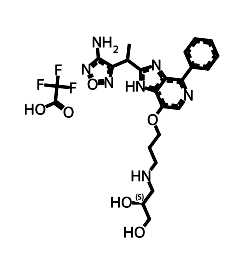 CC(c1nc2c(-c3ccccc3)ncc(OCCCNC[C@H](O)CO)c2[nH]1)c1nonc1N.O=C(O)C(F)(F)F